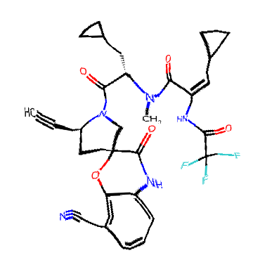 C#C[C@@H]1C[C@]2(CN1C(=O)[C@H](CC1CC1)N(C)C(=O)C(=CC1CC1)NC(=O)C(F)(F)F)Oc1c(C#N)cccc1NC2=O